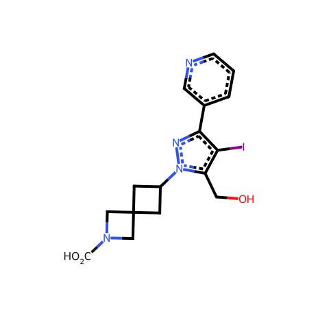 O=C(O)N1CC2(CC(n3nc(-c4cccnc4)c(I)c3CO)C2)C1